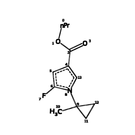 CCCOC(=O)c1cc(F)n(C2(C)CC2)c1